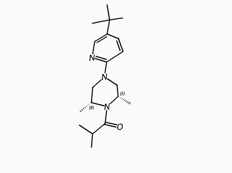 CC(C)C(=O)N1[C@H](C)CN(c2ccc(C(C)(C)C)cn2)C[C@@H]1C